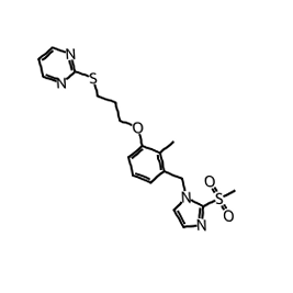 Cc1c(Cn2ccnc2S(C)(=O)=O)cccc1OCCCSc1ncccn1